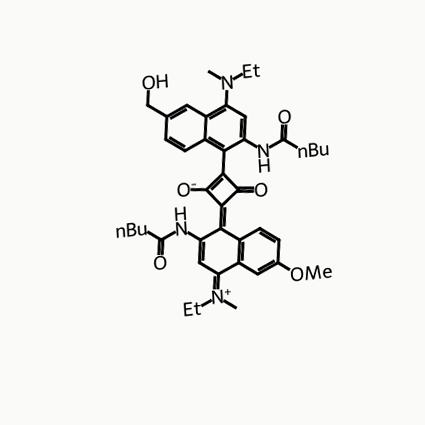 CCCCC(=O)NC1=CC(=[N+](/C)CC)/c2cc(OC)ccc2/C1=C1\C(=O)C(c2c(NC(=O)CCCC)cc(N(C)CC)c3cc(CO)ccc23)=C1[O-]